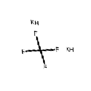 FC(F)(F)F.[KH].[KH]